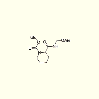 COCNC(=O)C1CCCCN1C(=O)OC(C)(C)C